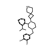 CC(C)c1ccccc1C1CN(Cc2ccc(F)c(F)c2)CCN1C1CC2(CCNCC2)C1